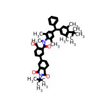 Cc1cc(C(c2ccccc2)c2cc(C)c(C(C)(C)C)c(C)c2)cc(C)c1N(C)C(=O)c1cc(-c2ccc3c(c2)C(=O)N(C(C)(C)C)C3=O)ccc1C=O